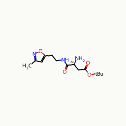 Cc1cc(CCNC(=O)[C@@H](N)CC(=O)OC(C)(C)C)on1